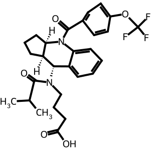 CC(C)C(=O)N(CCCC(=O)O)[C@H]1c2ccccc2N(C(=O)c2ccc(OC(F)(F)F)cc2)[C@@H]2CCC[C@@H]21